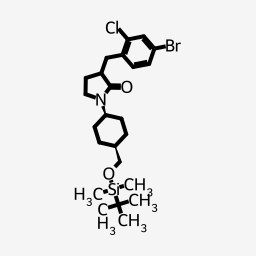 CC(C)(C)[Si](C)(C)OC[C@H]1CC[C@@H](N2CCC(Cc3ccc(Br)cc3Cl)C2=O)CC1